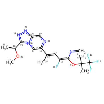 C=N/C(OC(C)(C)C(F)(F)F)=C(F)\C=C(/C)c1cn2c([C@H](C)OC)nnc2cn1